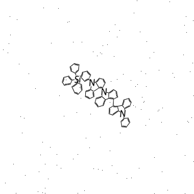 c1ccc(-n2c3ccccc3c3c(-c4cccc5c4c4ccccc4n5-c4cccc5c4c4ccccc4n5-c4cccc([Si](c5ccccc5)(c5ccccc5)c5ccccc5)c4)cccc32)cc1